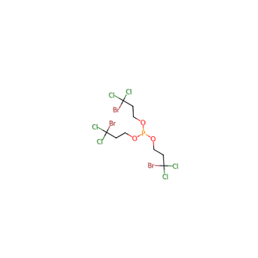 ClC(Cl)(Br)CCOP(OCCC(Cl)(Cl)Br)OCCC(Cl)(Cl)Br